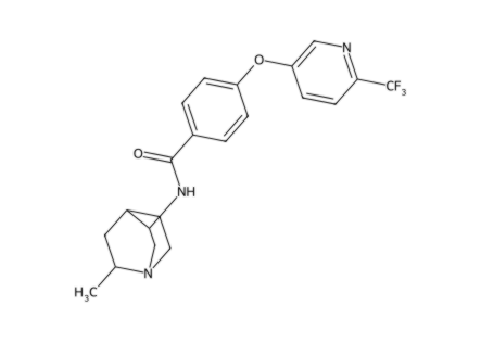 CC1CC2CCN1CC2NC(=O)c1ccc(Oc2ccc(C(F)(F)F)nc2)cc1